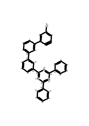 Clc1cc#cc(-c2cccc(-c3cccc(-c4nc(-c5ccccc5)nc(-c5ccccc5)n4)c3)c2)c1